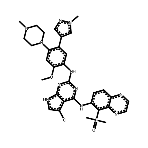 COc1cc(N2CCN(C)CC2)c(-c2cnn(C)c2)cc1Nc1nc(Nc2ccc3nccnc3c2P(C)(C)=O)c2c(Cl)c[nH]c2n1